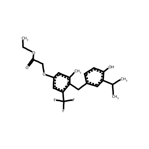 CCOC(=O)COc1cc(C)c(Cc2ccc(O)c(C(C)C)c2)c(C(F)(F)F)c1